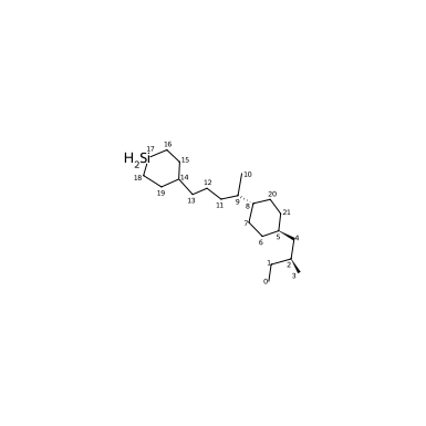 CC[C@H](C)C[C@H]1CC[C@H](C(C)CCCC2CC[SiH2]CC2)CC1